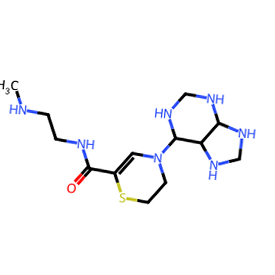 CNCCNC(=O)C1=CN(C2NCNC3NCNC32)CCS1